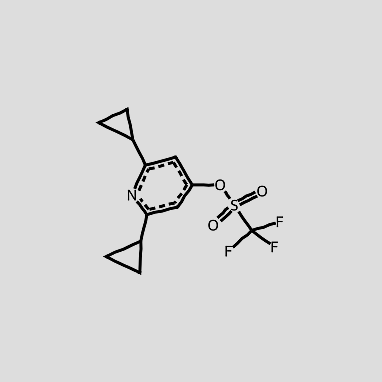 O=S(=O)(Oc1cc(C2CC2)nc(C2CC2)c1)C(F)(F)F